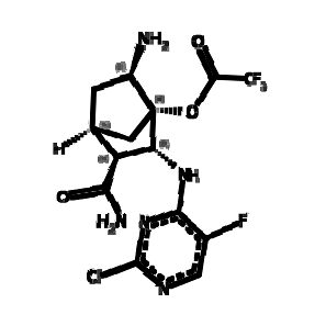 NC(=O)[C@H]1[C@H]2C[C@@H](N)[C@](OC(=O)C(F)(F)F)(C2)[C@@H]1Nc1nc(Cl)ncc1F